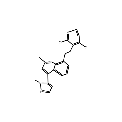 Cc1cc(-c2ccnn2C)c2cccc(OCc3c(Cl)ccnc3Cl)c2n1